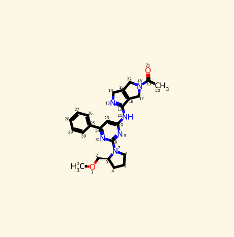 COC[C@@H]1CCCN1c1nc(NC2=NCC3=C2CN(C(C)=O)C3)cc(-c2ccccc2)n1